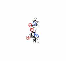 N#Cc1cnn2cc(OCC(=O)N3CCCC3)cc(Br)c12